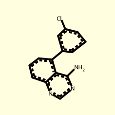 Nc1ncnc2cccc(-c3cccc(Cl)c3)c12